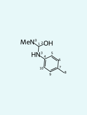 CNC(O)Nc1ccc(C)cc1